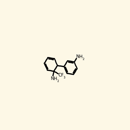 Nc1cccc(C2C=CC=CC2(N)C(F)(F)F)c1